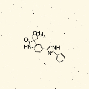 CCC1(CC)C(=O)Nc2ccc(-c3c[nH]c(-c4ccccc4)n3)cc21